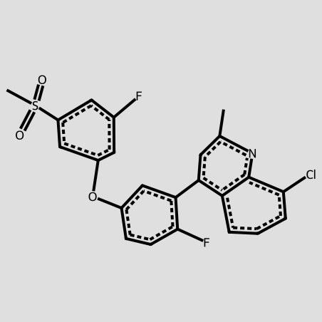 Cc1cc(-c2cc(Oc3cc(F)cc(S(C)(=O)=O)c3)ccc2F)c2cccc(Cl)c2n1